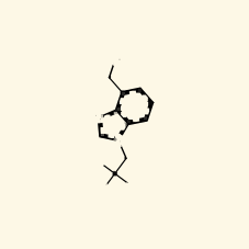 OCc1cccc2c1ncn2CC(F)(F)F